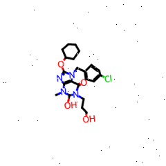 CN1c2nc(OC3CCCCC3)n(Cc3ccc(Cl)cc3)c2C(=O)N(CCCO)C1O